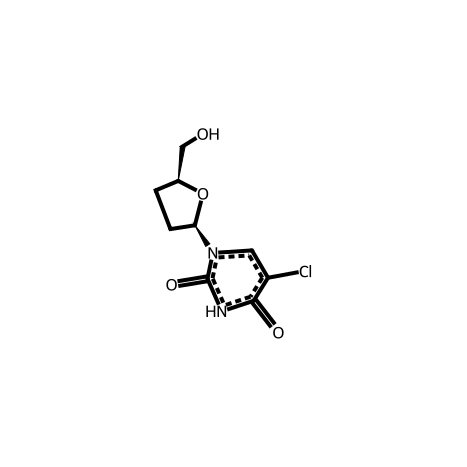 O=c1[nH]c(=O)n([C@H]2CC[C@@H](CO)O2)cc1Cl